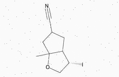 CC12CC(C#N)CC1[C@H](I)CO2